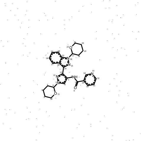 O=C(Nc1cn(C2CCCCO2)nc1-c1nn(C2CCCCO2)c2ccccc12)c1cccnc1